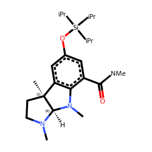 CNC(=O)c1cc(O[Si](C(C)C)(C(C)C)C(C)C)cc2c1N(C)[C@H]1N(C)CC[C@@]21C